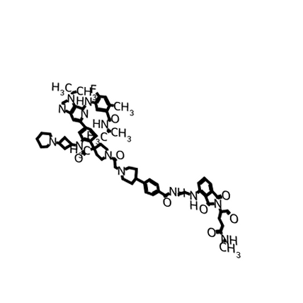 CNC(=O)CCC(C=O)N1C(=O)c2cccc(NCCNC(=O)c3ccc(C4CCN(CC(=O)N5CCC(C)(c6ccc(-c7cc8ncn(C(C)C)c8c(Nc8cc(C(=O)NC(C)C)c(C)cc8F)n7)cc6N(C=O)C6CC(N7CCCCC7)C6)CC5)CC4)cc3)c2C1=O